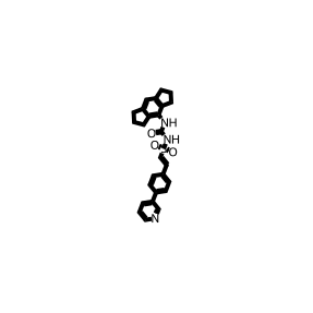 O=C(Nc1c2c(cc3c1CCC3)CCC2)NS(=O)(=O)/C=C/c1ccc(-c2cccnc2)cc1